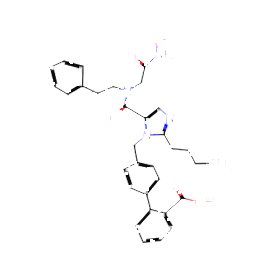 CCCCc1ncc(C(=O)N(CCc2ccccc2)CC(=O)NO)n1Cc1ccc(-c2ccccc2C(=O)O)cc1